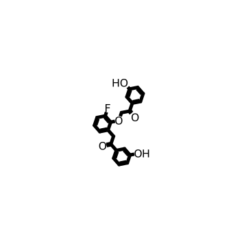 O=C(COc1c(F)cccc1CC(=O)c1cccc(O)c1)c1cccc(O)c1